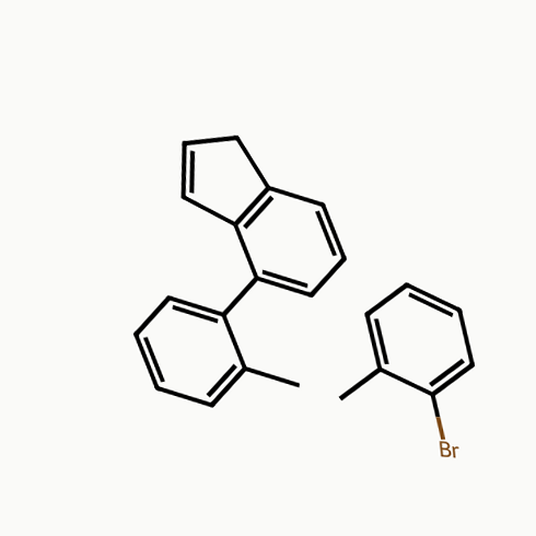 Cc1ccccc1-c1cccc2c1C=CC2.Cc1ccccc1Br